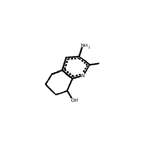 Cc1nc2c(cc1N)CCCC2O